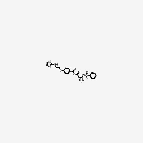 N[C@H](CC(=O)OC(=O)c1ccc(OCCNc2nccs2)cc1)NS(=O)(=O)c1ccccc1